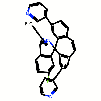 Fc1ccc2c(c1)C1(c3cc(-c4cccnc4)ccc3C=Cc3ccc(-c4cccnc4)cc31)n1nc(C(F)(F)F)cc1-2